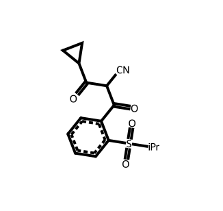 CC(C)S(=O)(=O)c1ccccc1C(=O)C(C#N)C(=O)C1CC1